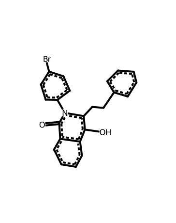 O=c1c2ccccc2c(O)c(CCc2ccccc2)n1-c1ccc(Br)cc1